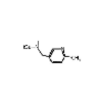 Cc1ccc(CNC(C)(C)C)cn1